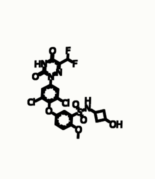 COc1ccc(Oc2c(Cl)cc(-n3nc(C(F)F)c(=O)[nH]c3=O)cc2Cl)cc1S(=O)(=O)NC1CC(O)C1